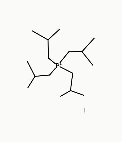 CC(C)C[P+](CC(C)C)(CC(C)C)CC(C)C.[I-]